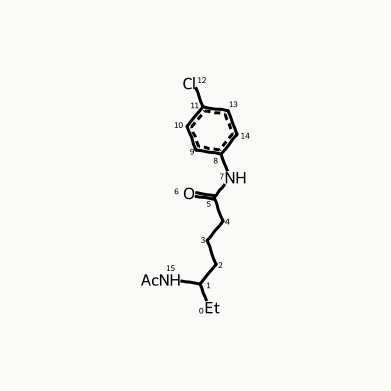 CCC(CCCC(=O)Nc1ccc(Cl)cc1)NC(C)=O